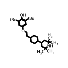 CC1(C)CC(C2CCC(CCOc3cc(C(C)(C)C)c(O)c(C(C)(C)C)c3)CC2)CC(C)(C)N1